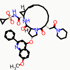 COc1ccc2c(O[C@@H]3C[C@H]4C(=O)N[C@@]5(C(=O)NS(=O)(=O)C6CC6)C[C@@H]5/C=C\CCCCC[C@H](CC(=O)N5CCCCC5)C(=O)N4C3)cc(-c3ccccc3)nc2c1